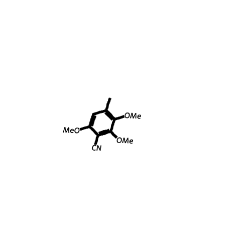 COc1cc(C)c(OC)c(OC)c1C#N